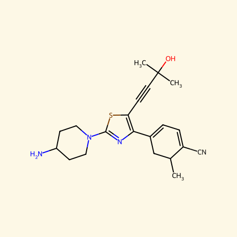 CC1CC(c2nc(N3CCC(N)CC3)sc2C#CC(C)(C)O)=CC=C1C#N